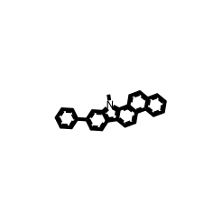 Cn1c2cc(-c3ccccc3)ccc2c2ccc3c4ccccc4ccc3c21